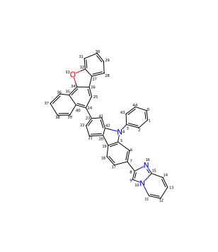 c1ccc(-n2c3cc(-c4cn5ccccc5n4)ccc3c3ccc(-c4cc5c6ccccc6oc5c5ccccc45)cc32)cc1